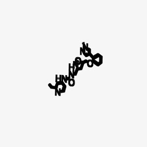 CCc1cc(NC(=O)NCC2=NOC(COc3ccccc3-c3cnn(C)c3)C2)ccn1